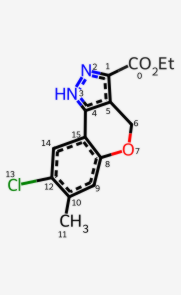 CCOC(=O)c1n[nH]c2c1COc1cc(C)c(Cl)cc1-2